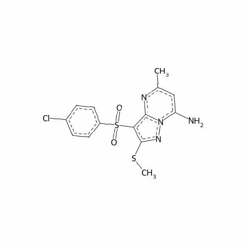 CSc1nn2c(N)cc(C)nc2c1S(=O)(=O)c1ccc(Cl)cc1